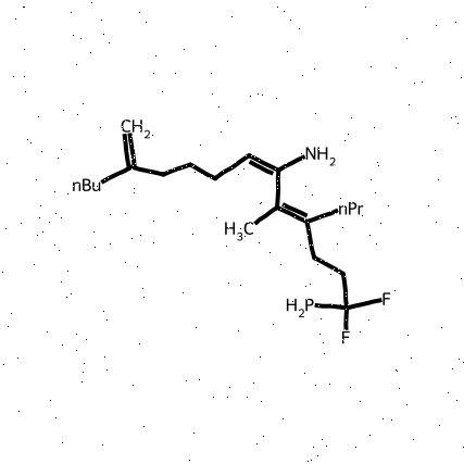 C=C(CCCC)CCC/C=C(N)\C(C)=C(/CCC)CCC(F)(F)P